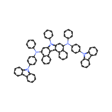 c1ccc(N(c2ccc(-n3c4ccccc4c4ccccc43)cc2)c2cc3c(c4ccccc24)c2c4ccccc4c(N(c4ccccc4)c4ccc(-n5c6ccccc6c6ccccc65)cc4)cc2n3-c2ccccc2)cc1